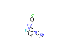 Cc1cc(F)c2nc(NCc3ccc(Cl)cc3)cc(N3CCC(NC(C)(C)C)CC3)c2c1